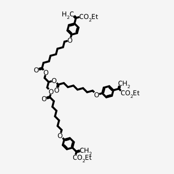 C=C(C(=O)OCC)c1ccc(OCCCCCCCC(=O)OCC(COC(=O)CCCCCCCOc2ccc(C(=C)C(=O)OCC)cc2)OC(=O)CCCCCCCOc2ccc(C(=C)C(=O)OCC)cc2)cc1